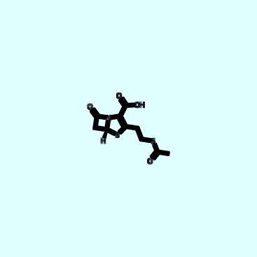 CC(=O)SCCC1=C(C(=O)O)N2C(=O)C[C@H]2S1